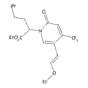 CCO/C=C/c1cn(C(CCC(C)C)C(=O)OCC)c(=O)cc1C(F)(F)F